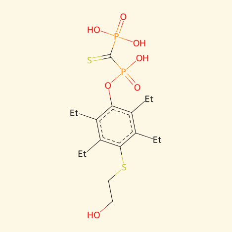 CCc1c(CC)c(SCCO)c(CC)c(CC)c1OP(=O)(O)C(=S)P(=O)(O)O